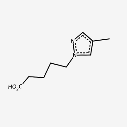 Cc1cnn(CCCCC(=O)O)c1